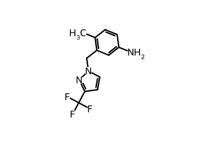 Cc1ccc(N)cc1Cn1ccc(C(F)(F)F)n1